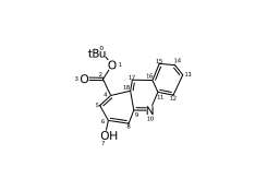 CC(C)(C)OC(=O)c1cc(O)cc2nc3ccccc3cc12